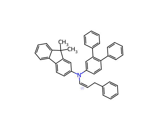 CC1(C)c2ccccc2-c2ccc(N(/C=C\Cc3ccccc3)c3ccc(-c4ccccc4)c(-c4ccccc4)c3)cc21